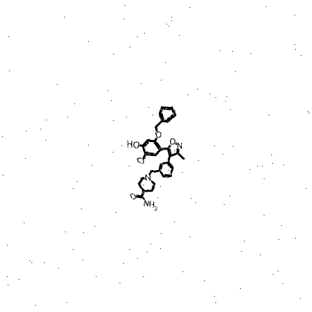 Cc1noc(-c2cc(Cl)c(O)cc2OCc2ccccc2)c1-c1cccc(CN2CCC(C(N)=O)CC2)c1